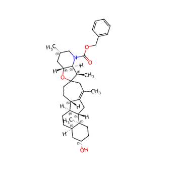 CC1=C2C[C@H]3[C@@H](CC[C@@H]4C[C@@H](O)CC[C@@]43C)[C@@H]2CCC2(C1)O[C@@H]1C[C@H](C)CN(C(=O)OCc3ccccc3)[C@H]1[C@H]2C